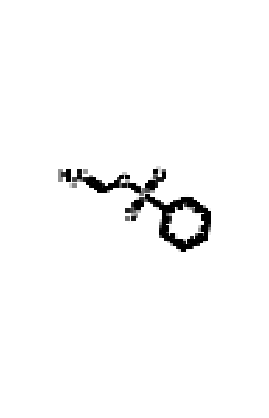 C=COS(=O)(=O)c1ccccc1